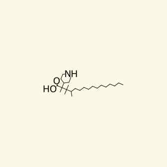 CCCCCCCCCCCCC(C)C(C)(C)C(C)(C(=O)O)C1CCNCC1